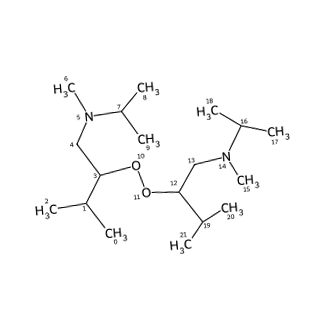 CC(C)C(CN(C)C(C)C)OOC(CN(C)C(C)C)C(C)C